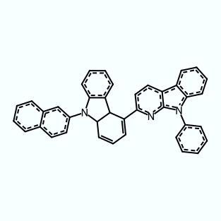 C1=CC2C(C(c3ccc4c5ccccc5n(-c5ccccc5)c4n3)=C1)c1ccccc1N2c1ccc2ccccc2c1